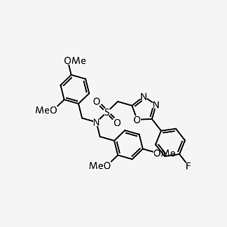 COc1ccc(CN(Cc2ccc(OC)cc2OC)S(=O)(=O)Cc2nnc(-c3ccc(F)cc3)o2)c(OC)c1